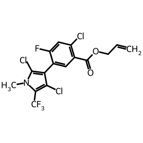 C=CCOC(=O)c1cc(-c2c(Cl)c(C(F)(F)F)n(C)c2Cl)c(F)cc1Cl